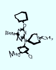 CNc1nc(OC2CCCCCC2)nc(N(c2ccc(OC)c(Cl)c2)C2CCN(C)CC2)n1